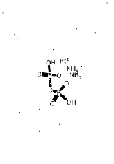 N.N.O=P([O-])(O)OP(=O)([O-])O.[Pt+2]